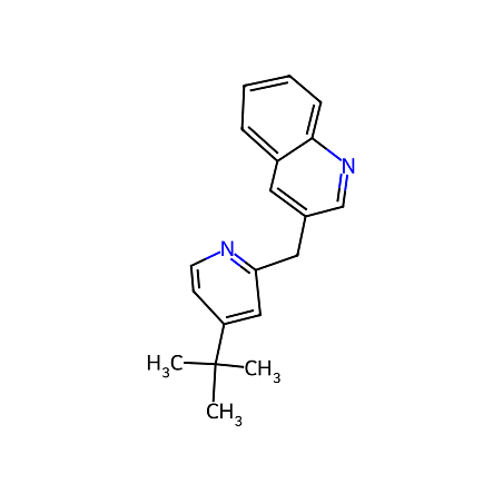 CC(C)(C)c1ccnc(Cc2cnc3ccccc3c2)c1